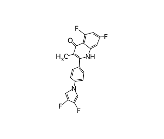 Cc1c(-c2ccc(-n3cc(F)c(F)c3)cc2)[nH]c2cc(F)cc(F)c2c1=O